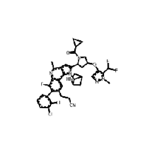 Cc1nc2c(F)c(-c3cccc(Cl)c3Cl)c(CCC#N)cc2c2c1cc(C1CC(Oc3cnn(C)c3C(F)F)CN1C(=O)C1CC1)n2C1C2CNC1C2